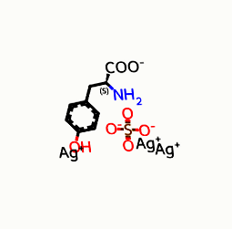 N[C@@H](Cc1ccc(O)cc1)C(=O)[O-].O=S(=O)([O-])[O-].[Ag+].[Ag+].[Ag+]